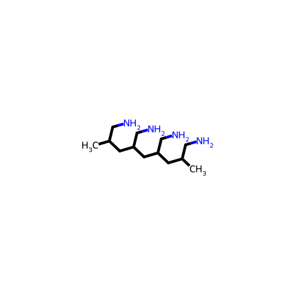 CC(CN)CC(CN)CC(CN)CC(C)CN